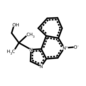 CC(C)(CO)n1cnc2c[n+]([O-])c3ccccc3c21